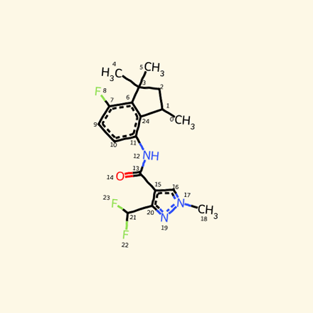 CC1CC(C)(C)c2c(F)ccc(NC(=O)c3cn(C)nc3C(F)F)c21